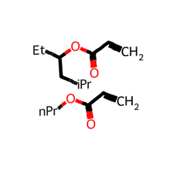 C=CC(=O)OC(CC)CC(C)C.C=CC(=O)OCCC